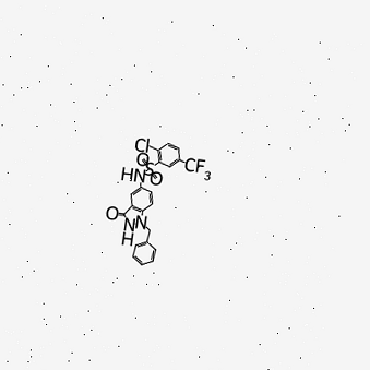 O=c1[nH]n(Cc2ccccc2)c2ccc(NS(=O)(=O)c3cc(C(F)(F)F)ccc3Cl)cc12